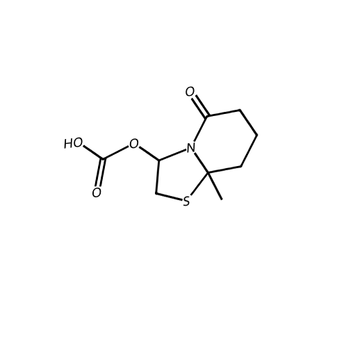 CC12CCCC(=O)N1C(OC(=O)O)CS2